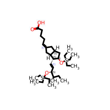 CCC(C)[C@@H](/C=C/[C@@H]1[C@H]2C/C(=C/CCCC(=O)O)C[C@H]2C[C@H]1O[Si](CC)(CC)CC)O[Si](CC)(CC)CC